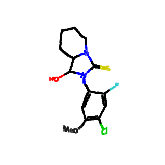 COc1cc(N2C(=S)N3CCCCC3C2O)c(F)cc1Cl